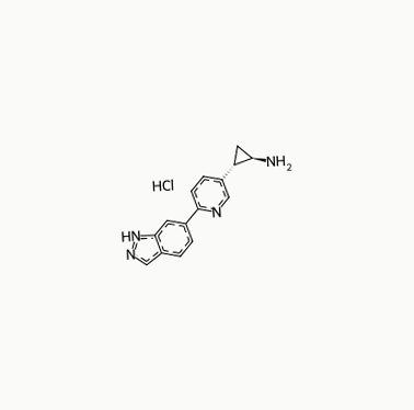 Cl.N[C@@H]1C[C@H]1c1ccc(-c2ccc3cn[nH]c3c2)nc1